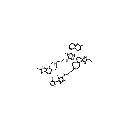 CCc1nc2ccc3c(c2s1)CCN(CCCSc1nnc(-c2ocnc2C)n1C)CC3.Cc1ccc2c(-c3nnc(SCCCN4CCc5ccc6nc(C)sc6c5CC4)n3C)cccc2n1